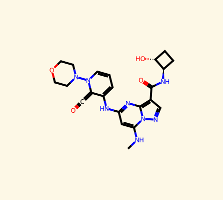 CNc1cc(NC2=CC=CN(N3CCOCC3)C2=C=O)nc2c(C(=O)N[C@@H]3CC[C@H]3O)cnn12